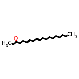 CCCCCCCCCC=CCC=CCCC(=O)CC